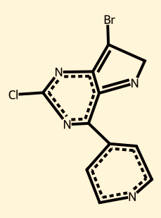 Clc1nc(-c2ccncc2)c2c(n1)=C(Br)CN=2